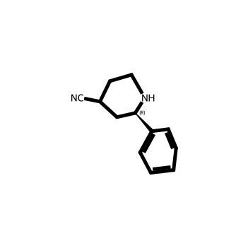 N#CC1CCN[C@@H](c2ccccc2)C1